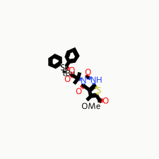 COC(=O)c1sc2[nH]c(=O)n(C(C)(C)C(=O)O[Si](c3ccccc3)(c3ccccc3)C(C)(C)C)c(=O)c2c1C